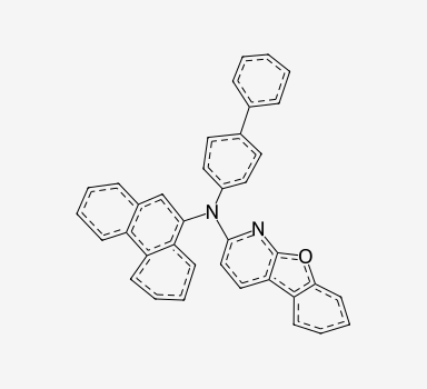 c1ccc(-c2ccc(N(c3ccc4c(n3)oc3ccccc34)c3cc4ccccc4c4ccccc34)cc2)cc1